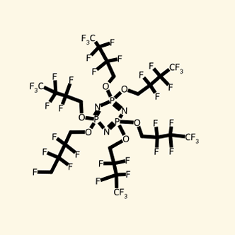 FCC(F)(F)C(F)(F)COP1(OCC(F)(F)C(F)(F)C(F)(F)F)=NP(OCC(F)(F)C(F)(F)C(F)(F)F)(OCC(F)(F)C(F)(F)C(F)(F)F)=NP(OCC(F)(F)C(F)(F)C(F)(F)F)(OCC(F)(F)C(F)(F)C(F)(F)F)=N1